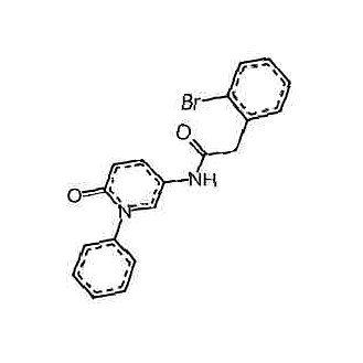 O=C(Cc1ccccc1Br)Nc1ccc(=O)n(-c2ccccc2)c1